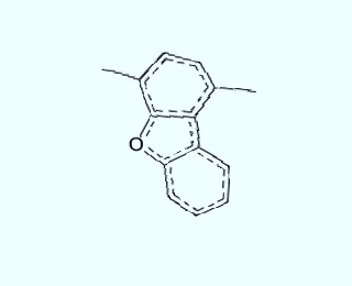 Cc1ccc(C)c2c1oc1ccccc12